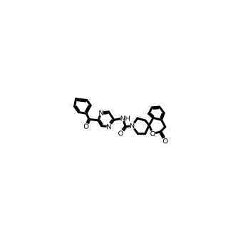 O=C1Cc2ccccc2C2(CCN(C(=O)Nc3cnc(C(=O)c4ccccc4)cn3)CC2)O1